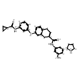 CC(C)(C)c1cc(NC(=O)C2CCc3ccc(Oc4ccnc(NC(=O)C5CC5)c4)cc3C2)cc([C@@H]2CCCN2)c1